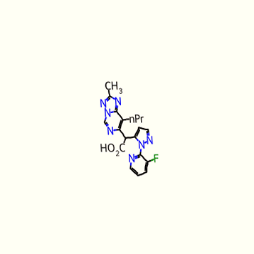 CCCc1c(C(C(=O)O)c2ccnn2-c2ncccc2F)ncn2nc(C)nc12